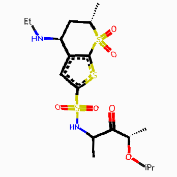 CCN[C@H]1C[C@H](C)S(=O)(=O)c2sc(S(=O)(=O)NC(C)C(=O)[C@H](C)OC(C)C)cc21